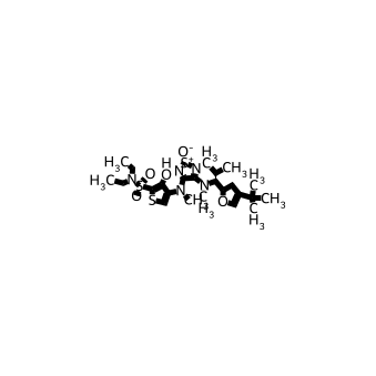 CCN(CC)S(=O)(=O)c1scc(N(C)c2n[s+]([O-])nc2N(C)[C@H](C(C)C)C2CC(C(C)(C)C)=CO2)c1O